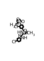 COC[C@H](NC(=O)c1ccc(N2C(=O)COCC2C)c(Cl)c1)c1nc2cc(Cl)ccc2[nH]1